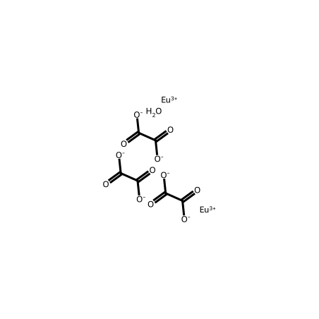 O.O=C([O-])C(=O)[O-].O=C([O-])C(=O)[O-].O=C([O-])C(=O)[O-].[Eu+3].[Eu+3]